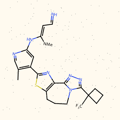 CN/C(=C\C=N)Nc1cc(-c2nc3c(s2)CCCn2c-3nnc2C2(C(F)(F)F)CCC2)c(C)cn1